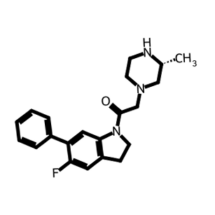 C[C@@H]1CN(CC(=O)N2CCc3cc(F)c(-c4ccccc4)cc32)CCN1